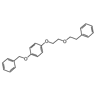 c1ccc(CCOCCOc2ccc(OCc3ccccc3)cc2)cc1